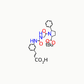 CC(C)(C)OC(=O)C1CCC(c2ccccc2)N1C(=O)CNC(=O)Nc1cccc(/C=C/C(=O)O)c1